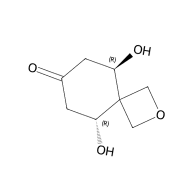 O=C1C[C@@H](O)C2(COC2)[C@H](O)C1